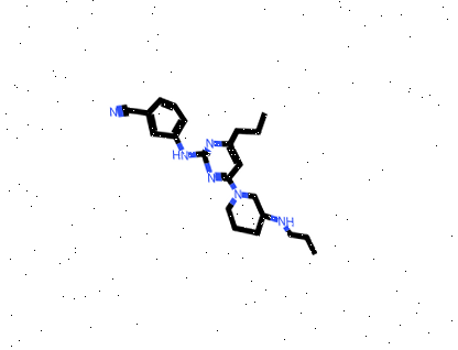 CCCNC1CCCN(c2cc(CCC)nc(Nc3cccc(C#N)c3)n2)C1